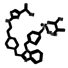 O=C(O)C(=O)O.O=C(O)c1csc(NCCN2CCC(Cc3nc4ccccc4n3Cc3ccc(F)cc3)CC2)n1.[CH2]C